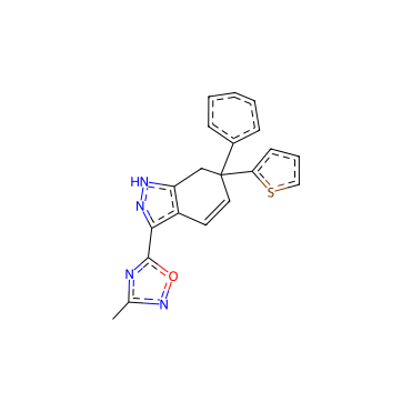 Cc1noc(-c2n[nH]c3c2C=CC(c2ccccc2)(c2cccs2)C3)n1